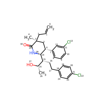 C=CC[C@@]1(C)C[C@H](c2cccc(Cl)c2)[C@@H]([C@H](CCc2ccc(Cl)cc2)[C@H](C)O)NC1=O